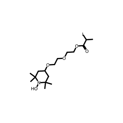 CC(I)C(=O)OCCOCCOC1CC(C)(C)N(O)C(C)(C)C1